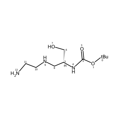 CC(C)(C)OC(=O)N[C@@H](CO)CNCCN